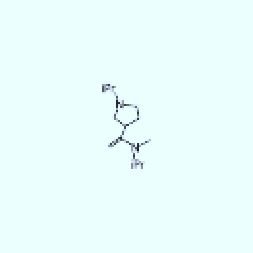 C=C(C1CCN(C(C)C)C1)N(C)C(C)C